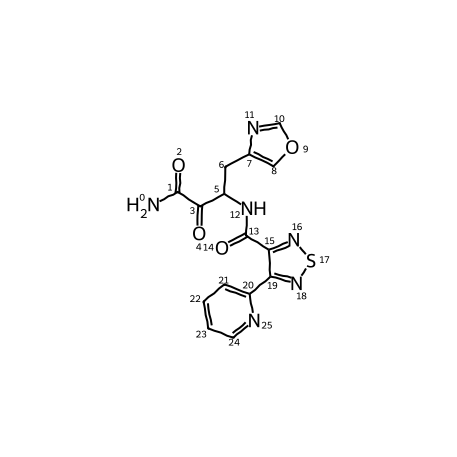 NC(=O)C(=O)C(Cc1cocn1)NC(=O)c1nsnc1-c1ccccn1